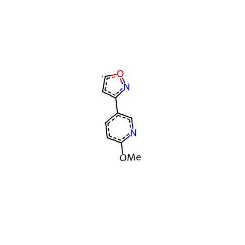 COc1ccc(-c2c[c]on2)cn1